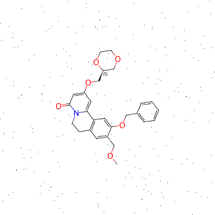 COCc1cc2c(cc1OCc1ccccc1)-c1cc(OC[C@@H]3COCCO3)cc(=O)n1CC2